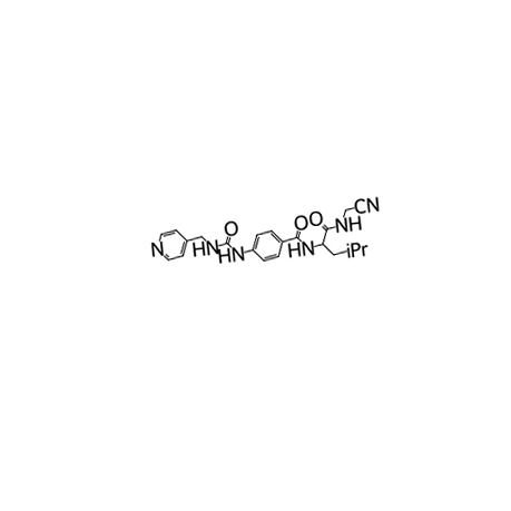 CC(C)CC(NC(=O)c1ccc(NC(=O)NCc2ccncc2)cc1)C(=O)NCC#N